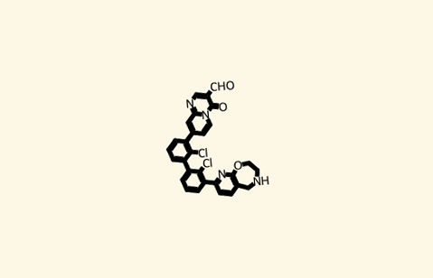 O=Cc1cnc2cc(-c3cccc(-c4cccc(-c5ccc6c(n5)OCCNC6)c4Cl)c3Cl)ccn2c1=O